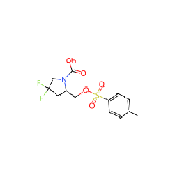 Cc1ccc(S(=O)(=O)OCC2CC(F)(F)CN2C(=O)O)cc1